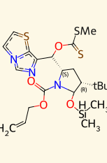 C=CCOC(=O)N1C(O[SiH](C)C)[C@@H](C(C)(C)C)C[C@H]1C(OC(=S)SC)c1ncn2ccsc12